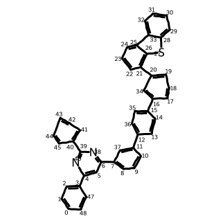 c1ccc(-c2cc(-c3cccc(-c4ccc(-c5cccc(-c6cccc7c6sc6ccccc67)c5)cc4)c3)nc(-c3ccccc3)n2)cc1